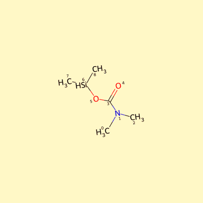 CN(C)C(=O)O[SiH](C)C